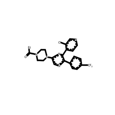 CCC(=O)N1CCN(c2cnc(-c3ccc(C(F)(F)F)cc3)c(-c3ccncc3Cl)n2)CC1